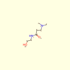 CN(C)CCC(=O)NCCO